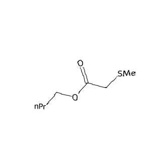 CCCCOC(=O)CSC